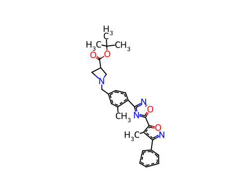 Cc1cc(CN2CC(C(=O)OC(C)(C)C)C2)ccc1-c1noc(-c2onc(-c3ccccc3)c2C)n1